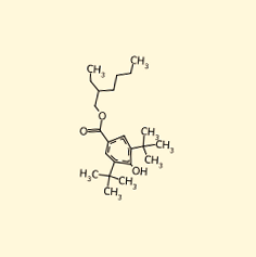 CCCCC(CC)COC(=O)c1cc(C(C)(C)C)c(O)c(C(C)(C)C)c1